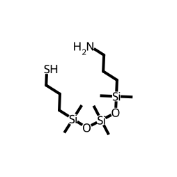 C[Si](C)(CCCN)O[Si](C)(C)O[Si](C)(C)CCCS